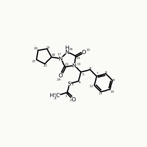 CC(=O)SCC(Cc1ccccc1)n1c(=O)[nH]n(C2CCCC2)c1=O